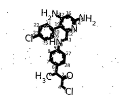 CC(C(=O)CCl)c1ccc(NCc2nc(N)cc(N)c2-c2ccc(Cl)cc2)cc1